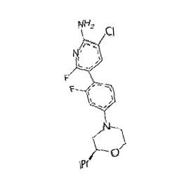 CC(C)[C@H]1CN(c2ccc(-c3cc(Cl)c(N)nc3F)c(F)c2)CCO1